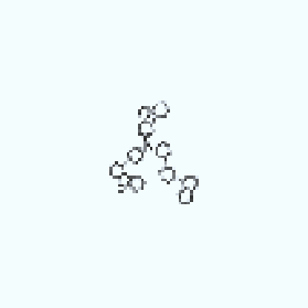 c1cc(-c2cccc(N(c3ccc(-c4cccc5sc6ccccc6c45)cc3)c3ccc4oc5ccccc5c4c3)c2)cc(-c2cccc3ccccc23)c1